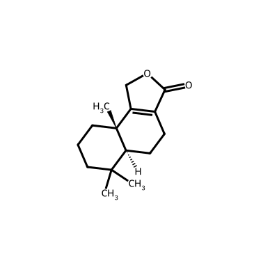 CC1(C)CCC[C@]2(C)C3=C(CC[C@@H]12)C(=O)OC3